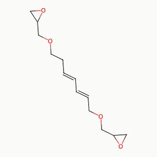 C(C=CCOCC1CO1)=CCCOCC1CO1